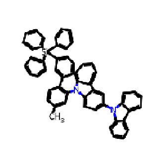 Cc1ccc(-c2cccc([Si](c3ccccc3)(c3ccccc3)c3ccccc3)c2)c(-n2c3ccccc3c3cc(-n4c5ccccc5c5ccccc54)ccc32)c1